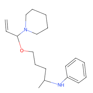 C=CC(OCCCC(C)Nc1ccccc1)N1CCCCC1